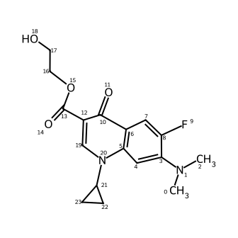 CN(C)c1cc2c(cc1F)c(=O)c(C(=O)OCCO)cn2C1CC1